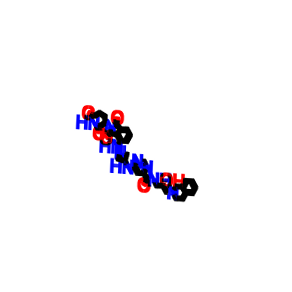 O=C1CCC(N2C(=O)c3cccc(NN4CC(Nc5cc(C(=O)NC[C@H](O)CN6CCc7ccccc7C6)ncn5)C4)c3C2=O)C(=O)N1